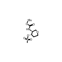 CC(C)(C)OC(=O)N[C@H]1COCC[C@@H]1OS(C)(=O)=O